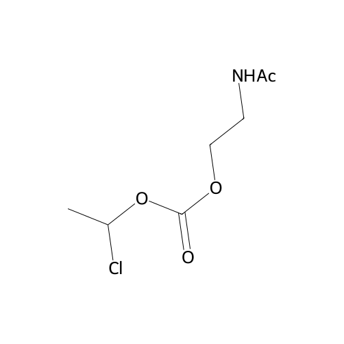 CC(=O)NCCOC(=O)OC(C)Cl